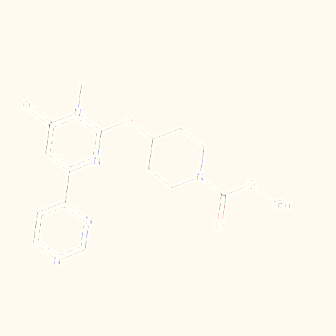 Cn1c(OC2CCN(C(=O)OC(C)(C)C)CC2)nc(-c2ccncn2)cc1=O